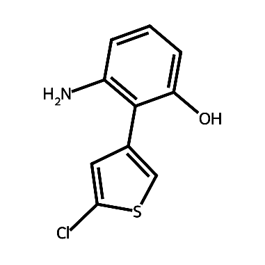 Nc1cccc(O)c1-c1csc(Cl)c1